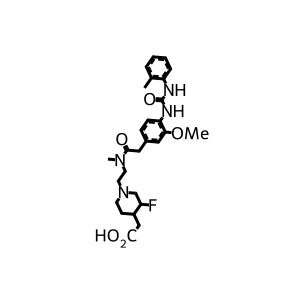 COc1cc(CC(=O)N(C)CCN2CCC(CC(=O)O)C(F)C2)ccc1NC(=O)Nc1ccccc1C